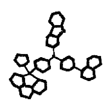 c1ccc(C2(c3ccc(N(c4ccc(-c5cccc6ccccc56)cc4)c4ccc5c(c4)oc4ccccc45)cc3)c3cccc4ccc5cccc2c5c34)cc1